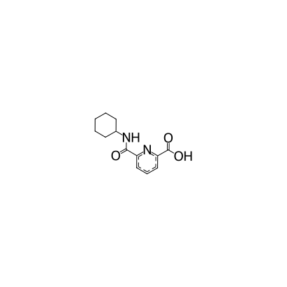 O=C(O)c1cccc(C(=O)NC2CCCCC2)n1